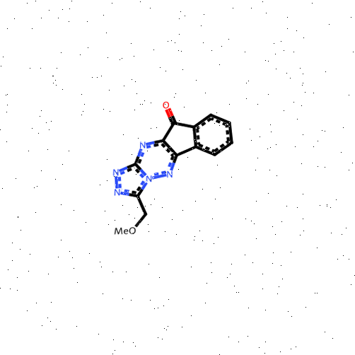 COCc1nnc2nc3c(nn12)-c1ccccc1C3=O